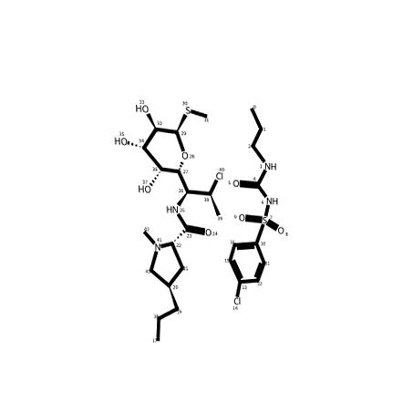 CCCNC(=O)NS(=O)(=O)c1ccc(Cl)cc1.CCC[C@@H]1C[C@@H](C(=O)N[C@@H]([C@H]2O[C@H](SC)[C@H](O)[C@@H](O)[C@H]2O)[C@H](C)Cl)N(C)C1